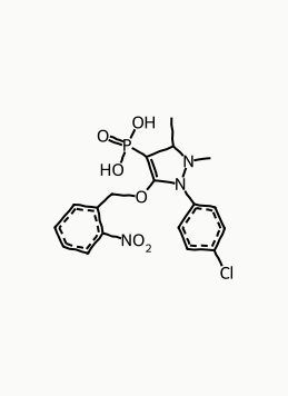 CC1C(P(=O)(O)O)=C(OCc2ccccc2[N+](=O)[O-])N(c2ccc(Cl)cc2)N1C